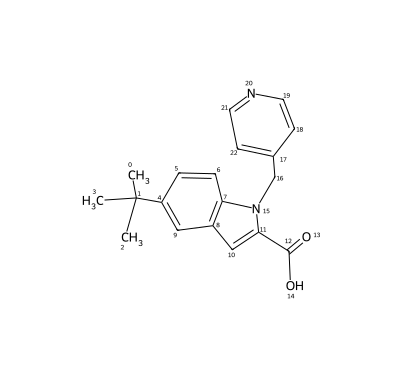 CC(C)(C)c1ccc2c(c1)cc(C(=O)O)n2Cc1ccncc1